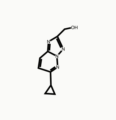 OCc1nc2ccc(C3CC3)nn2n1